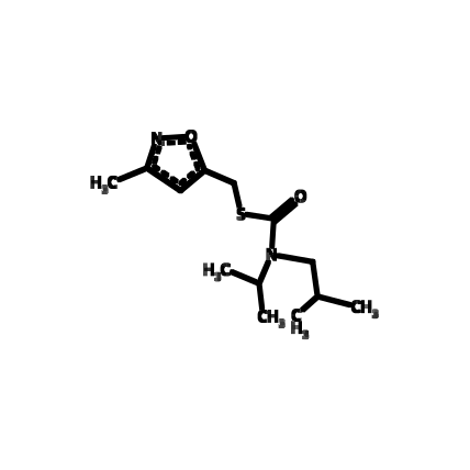 Cc1cc(CSC(=O)N(CC(C)C)C(C)C)on1